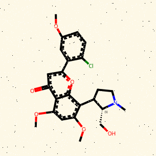 COc1ccc(Cl)c(-c2cc(=O)c3c(OC)cc(OC)c(C4CCN(C)[C@@H]4CO)c3o2)c1